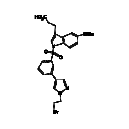 COc1ccc2c(c1)c(CCC(=O)O)cn2S(=O)(=O)c1cccc(-c2cnn(CCC(C)C)c2)c1